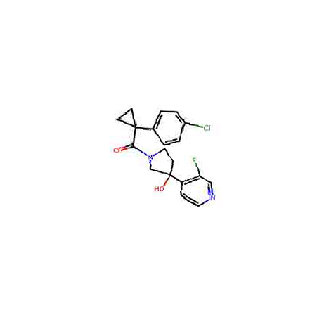 O=C(N1CCC(O)(c2ccncc2F)C1)C1(c2ccc(Cl)cc2)CC1